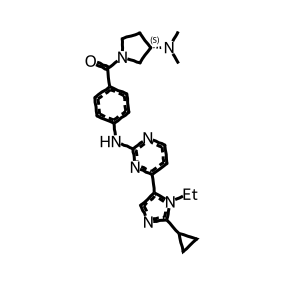 CCn1c(-c2ccnc(Nc3ccc(C(=O)N4CC[C@H](N(C)C)C4)cc3)n2)cnc1C1CC1